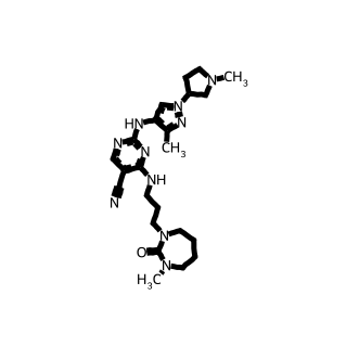 Cc1nn(C2CCN(C)C2)cc1Nc1ncc(C#N)c(NCCCN2CCCCN(C)C2=O)n1